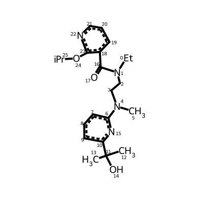 CCN(CCN(C)c1cccc(C(C)(C)O)n1)C(=O)c1cccnc1OC(C)C